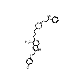 Cc1c(CCCC2CCN(CCC(O)c3ccccc3)CC2)ccc2[nH]c(COc3ccc(Cl)cc3)nc12